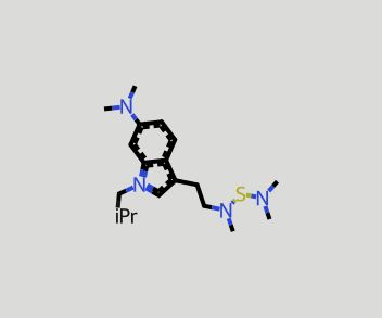 CC(C)Cn1cc(CCN(C)SN(C)C)c2ccc(N(C)C)cc21